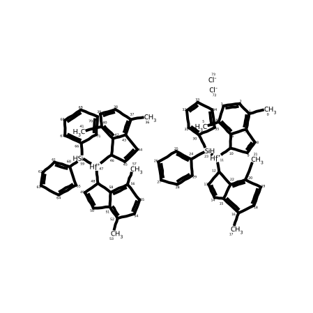 Cc1ccc(C)c2c1C=C[CH]2[Hf+]([CH]1C=Cc2c(C)ccc(C)c21)[SiH](c1ccccc1)c1ccccc1.Cc1ccc(C)c2c1C=C[CH]2[Hf+]([CH]1C=Cc2c(C)ccc(C)c21)[SiH](c1ccccc1)c1ccccc1.[Cl-].[Cl-]